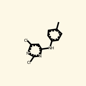 Cc1ccc(Nc2cc(Cl)nc(Cl)n2)cc1